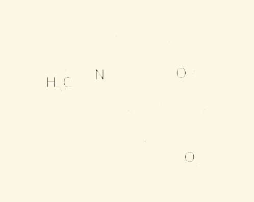 CN1CCOC2(COC2)C1